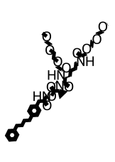 COCCOCCOCC(=O)NCCCC[C@H](NC(=O)COCCOCCOC)C(=O)N(C)C1(C(=O)ONC(=O)Cc2ccc(CCCCc3ccccc3)cc2)CC1